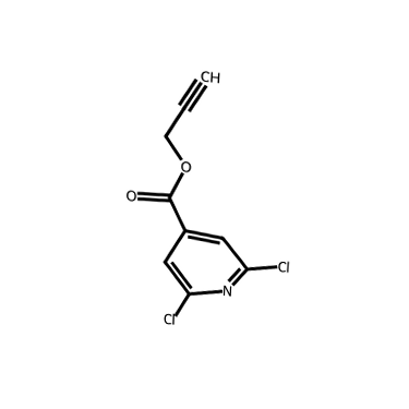 C#CCOC(=O)c1cc(Cl)nc(Cl)c1